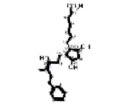 C/C(CCc1ccccc1)=C(\O)CC[C@@H]1[C@@H](CCCCCCC(=O)O)[C@@H](O)C[C@H]1O